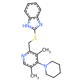 Cc1cnc(CSc2nc3ccccc3[nH]2)c(C)c1N1CCCCC1